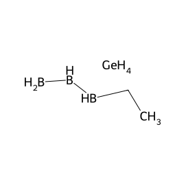 BBBCC.[GeH4]